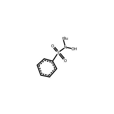 CC(C)(C)N(O)S(=O)(=O)c1ccccc1